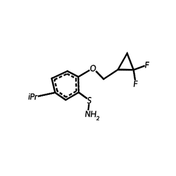 CC(C)c1ccc(OCC2CC2(F)F)c(SN)c1